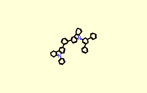 C1=Cc2c(c3cc(-c4cccc(-c5ccc6c(c5)c5c(n6-c6ccccc6)CCCC5)c4)ccc3n2C2C=C(c3ccccc3)CC(c3ccccc3)C2)CC1